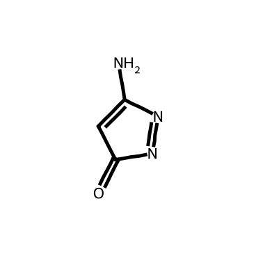 NC1=CC(=O)N=N1